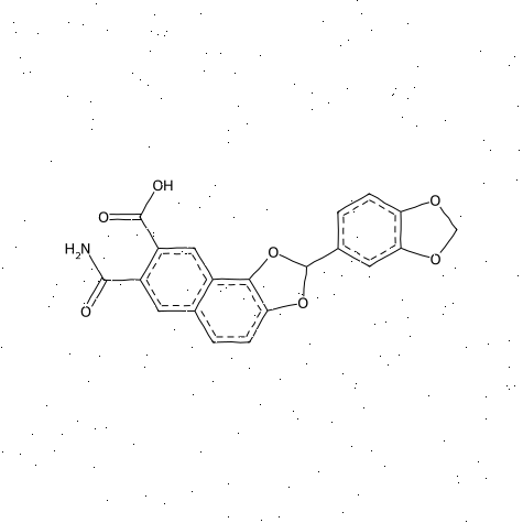 NC(=O)c1cc2ccc3c(c2cc1C(=O)O)OC(c1ccc2c(c1)OCO2)O3